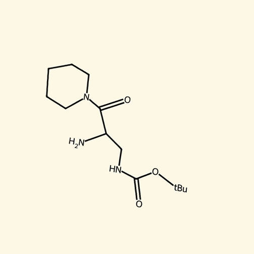 CC(C)(C)OC(=O)NCC(N)C(=O)N1CCCCC1